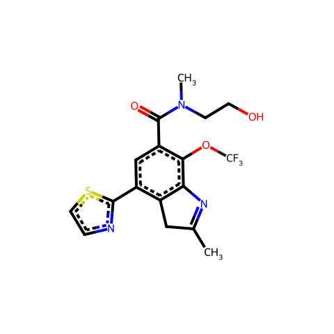 CC1=Nc2c(c(-c3nccs3)cc(C(=O)N(C)CCO)c2OC(F)(F)F)C1